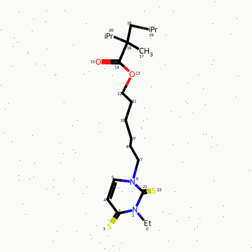 CCn1c(=S)ccn(CCCCCCOC(=O)C(C)(CC(C)C)C(C)C)c1=S